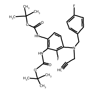 C#CCN(Cc1ccc(F)cc1)c1ccc(NC(=O)OC(C)(C)C)c(NC(=O)OC(C)(C)C)c1F